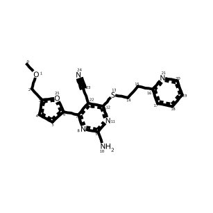 COCc1ccc(-c2nc(N)nc(SCCc3ccccn3)c2C#N)o1